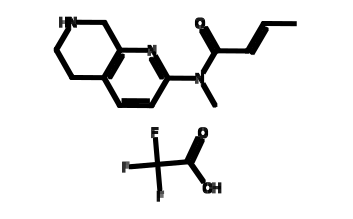 C/C=C/C(=O)N(C)c1ccc2c(n1)CNCC2.O=C(O)C(F)(F)F